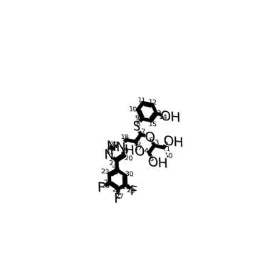 C[C@@H](O)C(CO)OC(Sc1cccc(O)c1)[C@@H](O)Cn1cc(-c2cc(F)c(F)c(F)c2)nn1